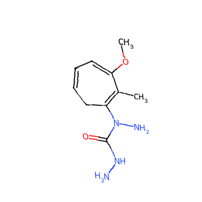 COC1=CC=CCC(N(N)C(=O)NN)=C1C